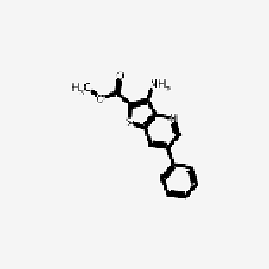 COC(=O)c1sc2cc(-c3ccccc3)cnc2c1N